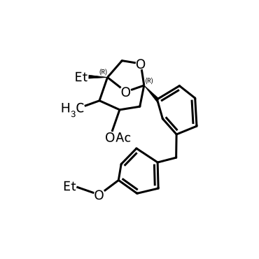 CCOc1ccc(Cc2cccc([C@]34CC(OC(C)=O)C(C)[C@](CC)(CO3)O4)c2)cc1